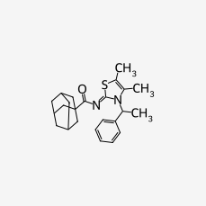 Cc1s/c(=N\C(=O)C23CC4CC(CC(C4)C2)C3)n(C(C)c2ccccc2)c1C